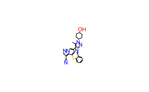 Cc1c(-c2cc(Sc3ccccc3C#N)c3c(C#N)cnn3c2)cnn1[C@H]1CC[C@@H](O)CC1